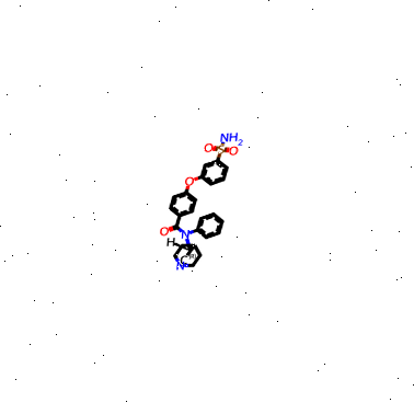 NS(=O)(=O)c1cccc(Oc2ccc(C(=O)N(c3ccccc3)[C@H]3CN4CCC3CC4)cc2)c1